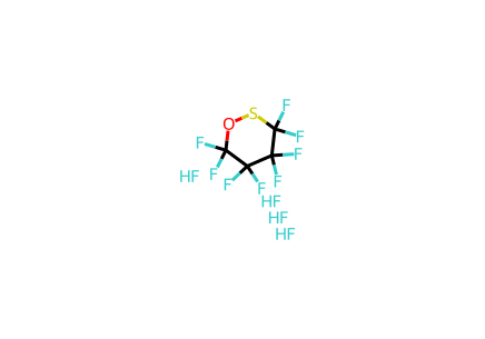 F.F.F.F.FC1(F)OSC(F)(F)C(F)(F)C1(F)F